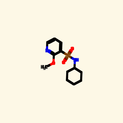 COc1ncccc1S(=O)(=O)NC1CCCCC1